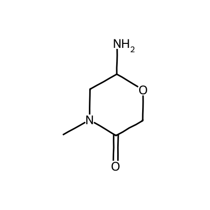 CN1CC(N)OCC1=O